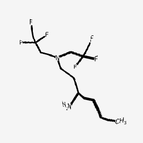 CCCC(N)CCN(CC(F)(F)F)CC(F)(F)F